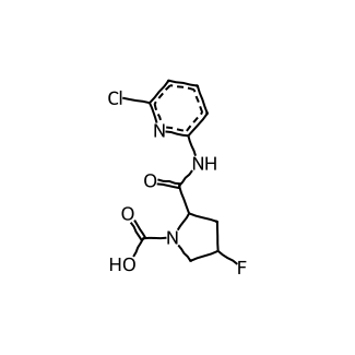 O=C(Nc1cccc(Cl)n1)C1CC(F)CN1C(=O)O